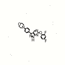 Fc1ccc(Oc2ncc3c(-c4ccc(N5CCOCC5)cc4)n[nH]c3n2)c(F)c1